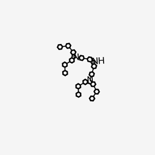 c1ccc(-c2cccc(-c3ccc4c(c3)c3cc(-c5cccc(-c6ccccc6)c5)ccc3n4-c3ccc(-c4ccc5[nH]c6ccc(-c7ccc(-n8c9ccc(-c%10cccc(-c%11ccccc%11)c%10)cc9c9cc(-c%10cccc(-c%11ccccc%11)c%10)ccc98)cc7)cc6c5c4)cc3)c2)cc1